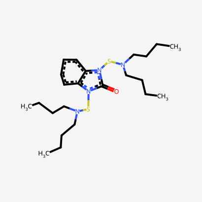 CCCCN(CCCC)Sn1c(=O)n(SN(CCCC)CCCC)c2ccccc21